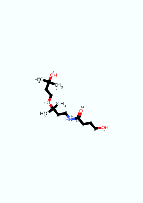 CC(C)(O)CCOC(C)(C)CCNC(=O)CCCO